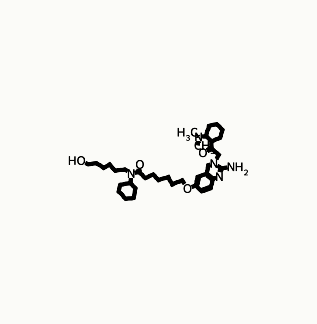 CN(C)C1CCCCC1C(=O)CN1Cc2cc(OCCCCCCC(=O)N(CCCCCCO)C3CCCCC3)ccc2N=C1N